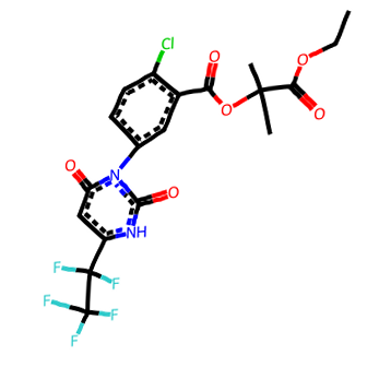 CCOC(=O)C(C)(C)OC(=O)c1cc(-n2c(=O)cc(C(F)(F)C(F)(F)F)[nH]c2=O)ccc1Cl